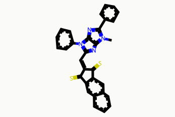 Cn1c(-c2ccccc2)nc2c1nc(C=C1C(=S)c3cc4ccccc4cc3C1=S)n2-c1ccccc1